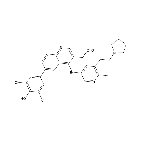 Cc1ncc(Nc2c(CC=O)cnc3ccc(-c4cc(Cl)c(O)c(Cl)c4)cc23)cc1CCN1CCCC1